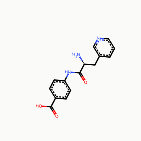 N[C@@H](Cc1cccnc1)C(=O)Nc1ccc(C(=O)O)cc1